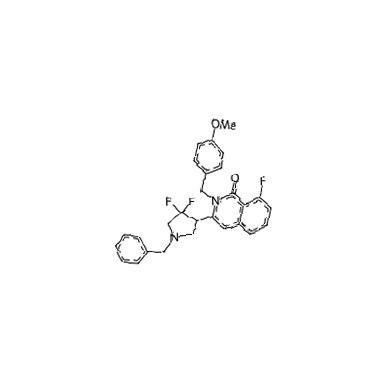 COc1ccc(Cn2c(C3CN(Cc4ccccc4)CC3(F)F)cc3cccc(F)c3c2=O)cc1